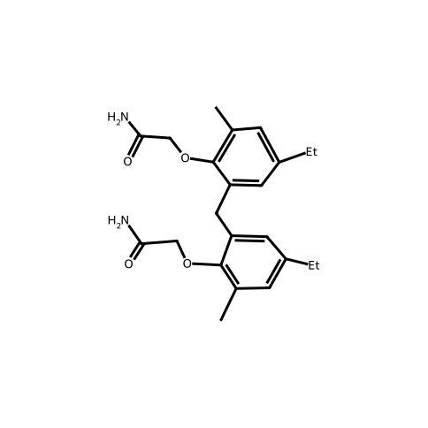 CCc1cc(C)c(OCC(N)=O)c(Cc2cc(CC)cc(C)c2OCC(N)=O)c1